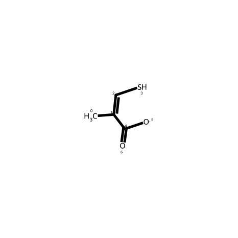 CC(=CS)C([O])=O